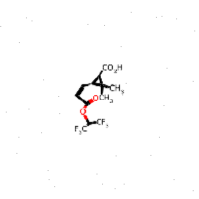 CC1(C)[C@H](C(=O)O)[C@@H]1/C=C\C(=O)OC(C(F)(F)F)C(F)(F)F